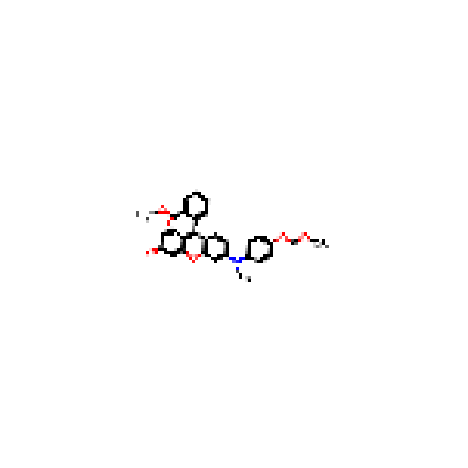 COCOc1ccc(N(C)c2ccc3c(-c4ccccc4C(=O)OC)c4ccc(=O)cc-4oc3c2)cc1